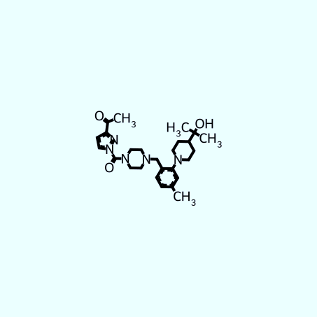 CC(=O)c1ccn(C(=O)N2CCN(Cc3ccc(C)cc3N3CCC(C(C)(C)O)CC3)CC2)n1